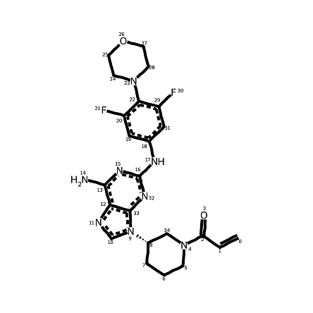 C=CC(=O)N1CCC[C@H](n2cnc3c(N)nc(Nc4cc(F)c(N5CCOCC5)c(F)c4)nc32)C1